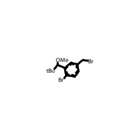 COC(c1cc(CBr)ccc1Br)C(C)(C)C